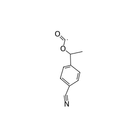 CC(O[C]=O)c1ccc(C#N)cc1